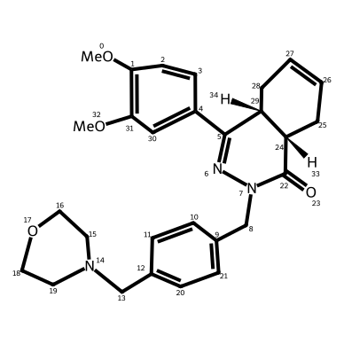 COc1ccc(C2=NN(Cc3ccc(CN4CCOCC4)cc3)C(=O)[C@H]3CC=CC[C@@H]23)cc1OC